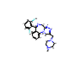 CN1CCN(CC2=NN=C3CN=C(c4c(F)cccc4F)c4ccccc4N3C2)CC1